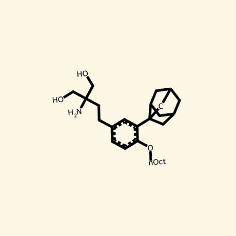 CCCCCCCCOc1ccc(CCC(N)(CO)CO)cc1C12CC3CC(CC1C3)C2